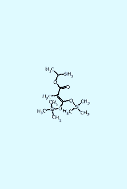 CC(C(=O)OC(C)[SiH3])=C(O[Si](C)(C)C)O[Si](C)(C)C